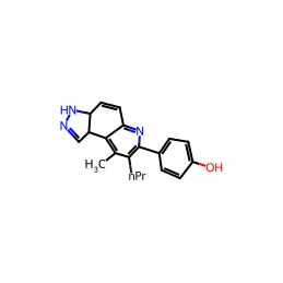 CCCc1c(-c2ccc(O)cc2)nc2c(c1C)C1C=NNC1C=C2